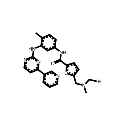 Cc1ccc(NC(=O)c2ccc(CN(C)CC(C)C)o2)cc1Nc1nccc(-c2cccnc2)n1